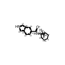 O=C(N[C@H]1CN2CCC1CC2)c1ccc2c[nH]cc2c1